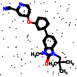 Cn1c(=O)n(CC(C)(C)C)c2ccc(-c3cccc(Oc4ccnc(C#N)c4)c3)cc21